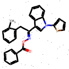 Cc1ccccc1C/C(=N\OC(=O)c1ccccc1)c1cn(-c2cccs2)c2ccccc12